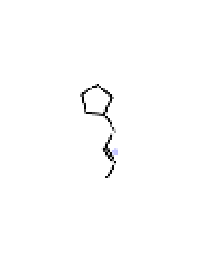 C/C=C/SC1CCCC1